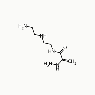 C=C(NN)C(=O)NCCNCCN